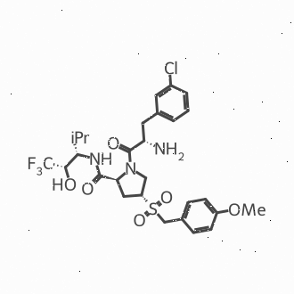 COc1ccc(CS(=O)(=O)[C@@H]2C[C@@H](C(=O)N[C@@H](C(C)C)[C@H](O)C(F)(F)F)N(C(=O)[C@@H](N)Cc3cccc(Cl)c3)C2)cc1